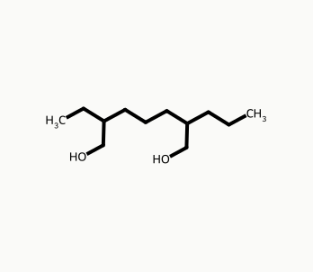 CCCC(CO)CCCC(CC)CO